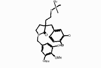 COc1cc(CN2CCC(CCO[Si](C)(C)C(C)(C)C)(Cc3ccc(Cl)c(Cl)c3)C2=O)cc(OC)c1OC